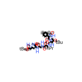 CCCC(NC(=O)[C@@H]1C[C@@H](OC(C)(C)C)CN1C(=O)[C@@H](NC(=O)OCC(C)C)C1CCCCC1)C(=O)C(=O)NCC(=O)N[C@@H](CCCC(=O)OC(C)(C)C)C(N)=O